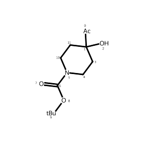 CC(=O)C1(O)CCN(C(=O)OC(C)(C)C)CC1